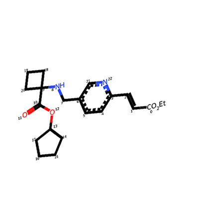 CCOC(=O)C=Cc1ccc(CNC2(C(=O)OC3CCCC3)CCC2)cn1